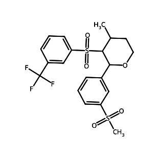 CC1CCOC(c2cccc(S(C)(=O)=O)c2)C1S(=O)(=O)c1cccc(C(F)(F)F)c1